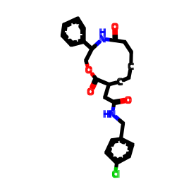 O=C(CC1CCCCCC(=O)NC(c2ccccc2)COC1=O)NCc1ccc(Cl)cc1